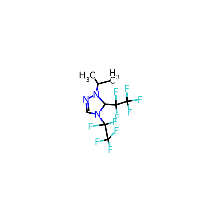 CC(C)N1N=CN(C(F)(F)C(F)(F)F)C1C(F)(F)C(F)(F)F